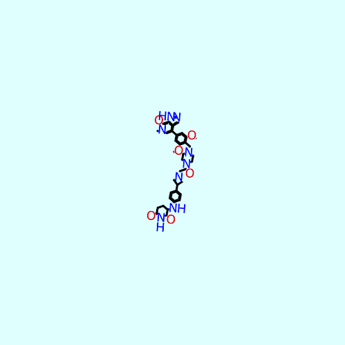 COc1cc(-c2cn(C)c(=O)c3[nH]ncc23)cc(OC)c1CN1CCN(C(=O)CN2CC(c3ccc(NC4CCC(=O)NC4=O)cc3)C2)CC1